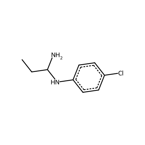 CCC(N)Nc1ccc(Cl)cc1